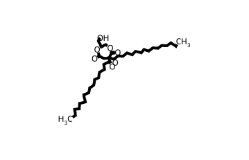 CCCCCCCCCCCCCCCC(=O)C1(C(=O)CCCCCCCCCCCCCCC)CC(=O)OC(CO)COC1=O